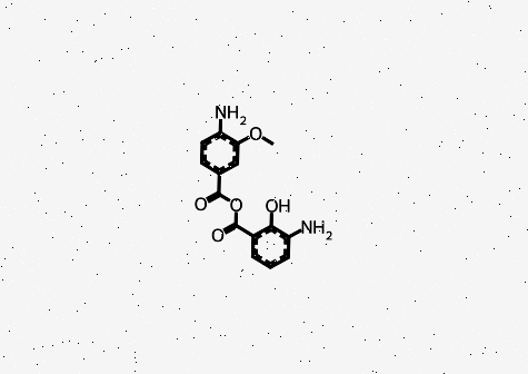 COc1cc(C(=O)OC(=O)c2cccc(N)c2O)ccc1N